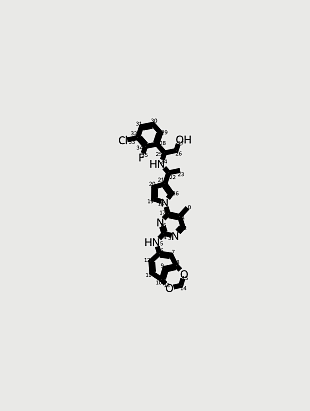 Cc1cnc(NC2=CC3=C=C(C=C2)OCO3)nc1-n1ccc(C(C)NC(CO)c2cccc(Cl)c2F)c1